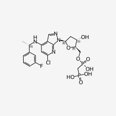 C[C@H](Nc1cc(Cl)nc2c1cnn2[C@H]1C[C@H](O)[C@@H](COP(=O)(O)CP(=O)(O)O)O1)c1cccc(F)c1